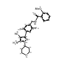 COc1ccccc1C(=O)NCc1cc(F)c(-c2nn(C3CCOCC3)c(N)c2C#N)cc1F